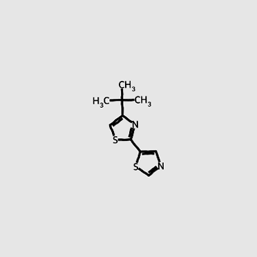 CC(C)(C)c1csc(-c2cncs2)n1